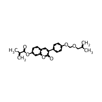 C=C(C)COCOc1ccc(-c2cc3ccc(OC(=O)C(=C)C)cc3oc2=O)cc1